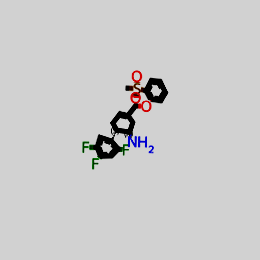 CS(=O)(=O)c1ccccc1OCC1=CC[C@@H](c2cc(F)c(F)cc2F)[C@H](N)C1